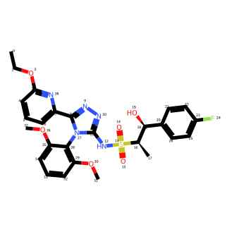 CCOc1cccc(-c2nnc(NS(=O)(=O)[C@H](C)[C@@H](O)c3ccc(F)cc3)n2-c2c(OC)cccc2OC)n1